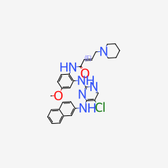 COc1ccc(NC(=O)/C=C/CN2CCCCC2)c(Nc2ncc(Cl)c(Nc3ccc4ccccc4c3)n2)c1